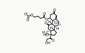 C[C@]12CC(=O)[C@H]3[C@@H](CCC4=CC(=O)CC(OC(=O)CCCO[N+](=O)[O-])[C@@]43C)[C@@H]1CC[C@]2(O)C(=O)CO